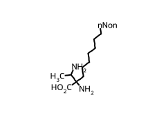 CCCCCCCCCCCCCCCCC(N)(C(=O)O)C(C)N